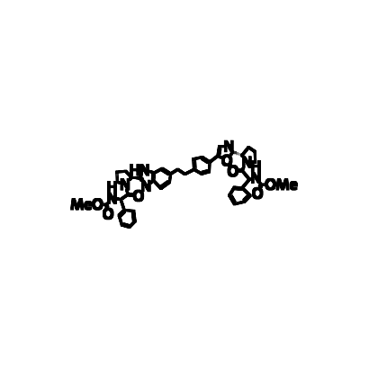 COC(=O)N[C@@H](C(=O)N1CCC[C@H]1c1nc2ccc(CCc3ccc(-c4cnc([C@@H]5CCCN5C(=O)[C@H](NC(=O)OC)c5ccccc5)o4)cc3)cc2[nH]1)c1ccccc1